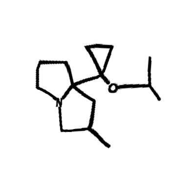 CC1CN2CCCC2(C2(OC(C)C)CC2)C1